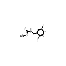 CC(C)(C)OC(=O)NCc1cc(I)ccc1F